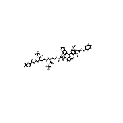 COc1cc(C2c3cc4c(cc3C(NC(=O)NCCCN(CCCCN(CCCNC(=O)OC(C)(C)C)C(=O)OC(C)(C)C)C(=O)OC(C)(C)C)C3COC(=O)C23)OCO4)cc(OC)c1OC(=O)OCc1ccccc1